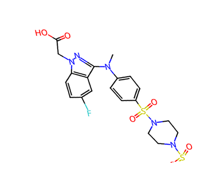 CN(c1ccc(S(=O)(=O)N2CCN(S(C)(=O)=O)CC2)cc1)c1nn(CC(=O)O)c2ccc(F)cc12